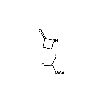 COC(=O)C[C@@H]1CC(=O)N1